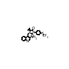 Nc1cnc2ccccc2c1CN1C(=O)N(c2ccc(SC(F)(F)F)cc2)C(=O)C12CC2